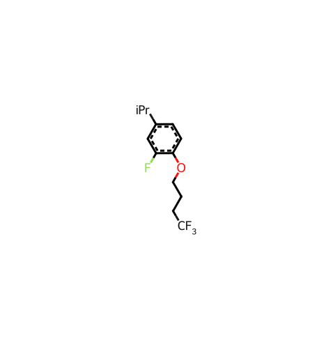 CC(C)c1ccc(OCCCC(F)(F)F)c(F)c1